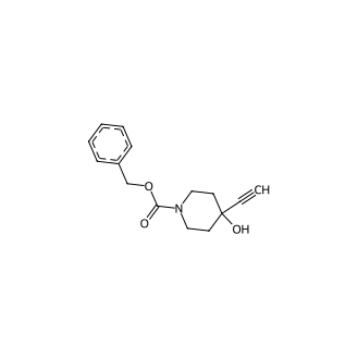 C#CC1(O)CCN(C(=O)OCc2ccccc2)CC1